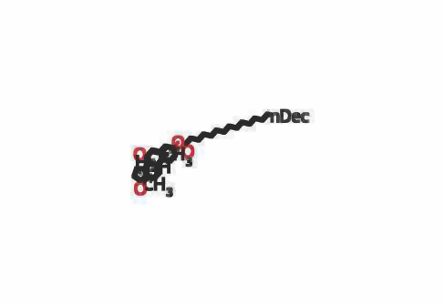 CCCCCCCCCCCCCCCCCCCCCCCC(=O)O[C@H]1CC[C@@]2(C)C(=CC(=O)[C@@H]3[C@@H]2CC[C@]2(C)C(=O)CC[C@@H]32)C1